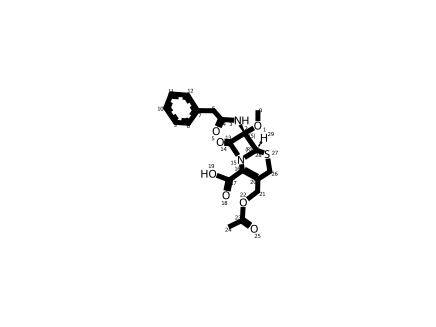 CO[C@@]1(NC(=O)Cc2ccccc2)C(=O)N2C(C(=O)O)=C(COC(C)=O)CS[C@@H]21